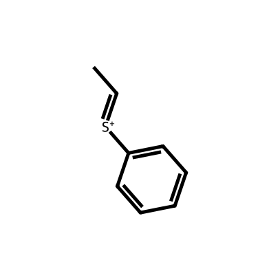 CC=[S+]c1ccccc1